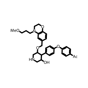 COCCCN1CCOc2ccc(COC3CNCC(O)C3c3ccc(Oc4ccc(C(C)=O)cc4)cc3)cc21